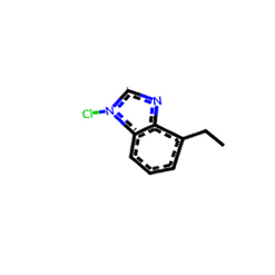 CCc1cccc2c1n[c]n2Cl